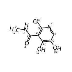 CNC(=O)c1c(Cl)ncc(O)c1O